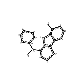 Cc1cccc2c1sc1c(N(C)c3ccccc3)cccc12